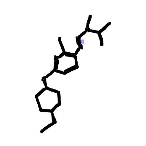 CC[C@H]1CC[C@@H](Oc2ccc(/N=C/N(C)C(C)C)c(C)n2)CC1